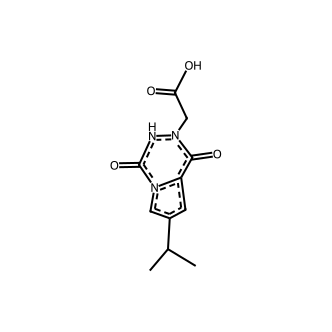 CC(C)c1cc2c(=O)n(CC(=O)O)[nH]c(=O)n2c1